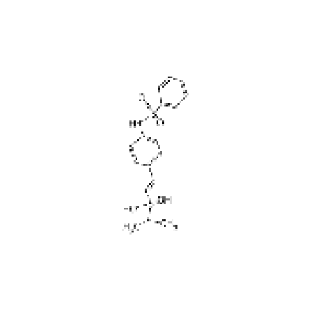 CC(C)[Si](O)(O)/C=C/c1ccc(NS(=O)(=O)c2ccccc2)cc1